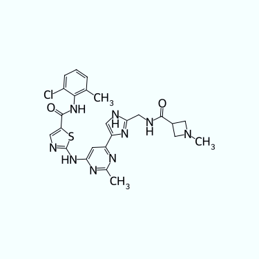 Cc1nc(Nc2ncc(C(=O)Nc3c(C)cccc3Cl)s2)cc(-c2c[nH]c(CNC(=O)C3CN(C)C3)n2)n1